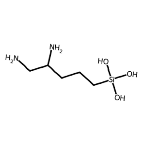 NCC(N)CCC[Si](O)(O)O